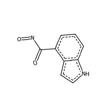 O=NC(=O)c1cccc2[nH]ccc12